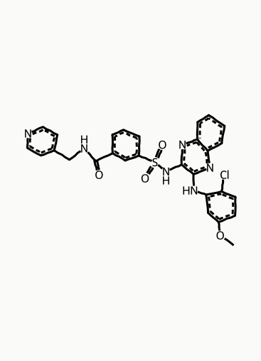 COc1ccc(Cl)c(Nc2nc3ccccc3nc2NS(=O)(=O)c2cccc(C(=O)NCc3ccncc3)c2)c1